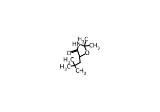 CC(C)(C)CC1OC(C)(C)NC1=O